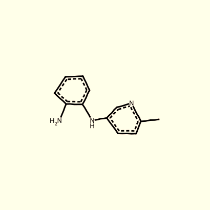 Cc1ccc(Nc2ccccc2N)cn1